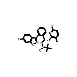 Cc1ccc(Br)nc1C[C@H](N[S+]([O-])C(C)(C)C)c1ccccc1-c1noc2cc(F)ccc12